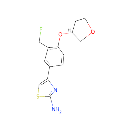 Nc1nc(-c2ccc(O[C@@H]3CCOC3)c(CF)c2)cs1